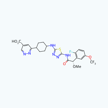 CO[C@H](C(=O)Nc1nnc(NC2CCC(c3cc(C(=O)O)cnn3)CC2)s1)c1cc(OC(F)(F)F)ccc1F